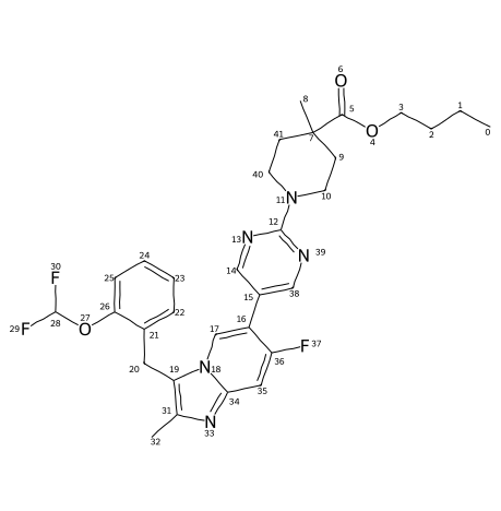 CCCCOC(=O)C1(C)CCN(c2ncc(-c3cn4c(Cc5ccccc5OC(F)F)c(C)nc4cc3F)cn2)CC1